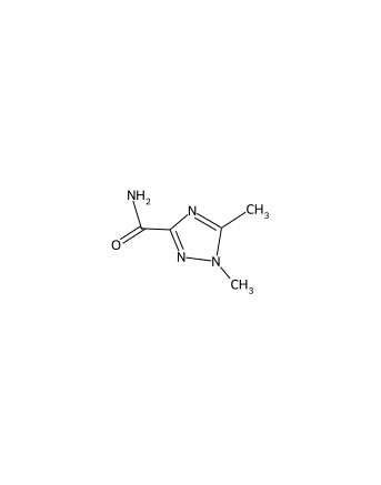 Cc1nc(C(N)=O)nn1C